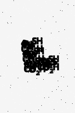 C[C@H](CS)C(=O)N1CCC[C@H]1C(=O)O.C[C@H](CS)C(=O)N1CCC[C@H]1C(=O)O.C[C@H](CS)C(=O)N1CCC[C@H]1C(=O)O.C[C@H](CS)C(=O)N1CCC[C@H]1C(=O)O.S.S